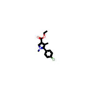 CCOC(=O)c1cn(C)c(-c2ccc(Cl)cc2)c1C